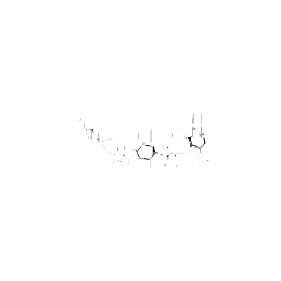 CCC1(C2CCC(N3CC(OC)C3)CC2)Oc2c(Cl)cc(C(=O)NCc3c(SC)cc(C)[nH]c3=O)c(C)c2O1